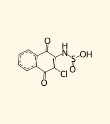 O=C1C(Cl)=C(NS(=O)O)C(=O)c2ccccc21